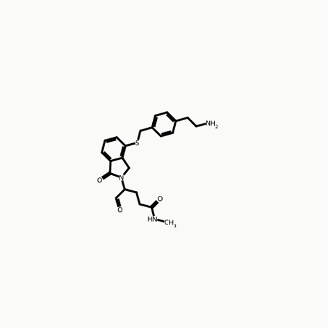 CNC(=O)CCC(C=O)N1Cc2c(SCc3ccc(CCN)cc3)cccc2C1=O